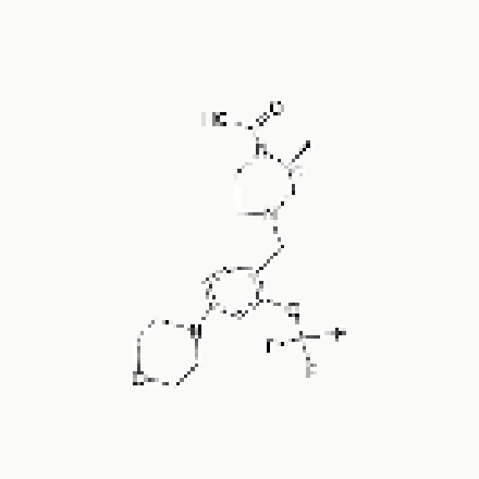 C[C@H]1CN(Cc2ccc(N3CCOCC3)cc2OC(F)(F)F)CCN1C(=O)O